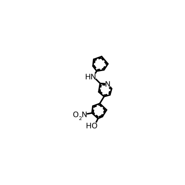 O=[N+]([O-])c1cc(-c2ccnc(Nc3ccccc3)c2)ccc1O